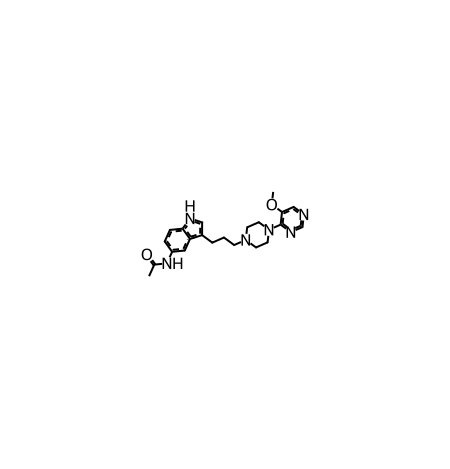 COc1cncnc1N1CCN(CCCc2c[nH]c3ccc(NC(C)=O)cc23)CC1